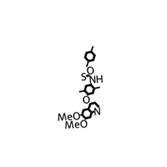 COc1cc2nccc(Oc3cc(C)c(NC(=S)OCc4ccc(C)cc4)cc3C)c2cc1OC